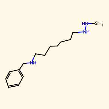 [SiH3]NNCCCCCCCNCc1ccccc1